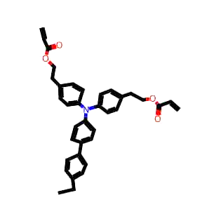 C=CC(=O)OCCc1ccc(N(c2ccc(CCOC(=O)C=C)cc2)c2ccc(-c3ccc(CC)cc3)cc2)cc1